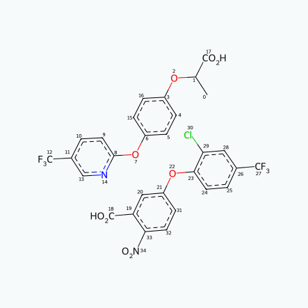 CC(Oc1ccc(Oc2ccc(C(F)(F)F)cn2)cc1)C(=O)O.O=C(O)c1cc(Oc2ccc(C(F)(F)F)cc2Cl)ccc1[N+](=O)[O-]